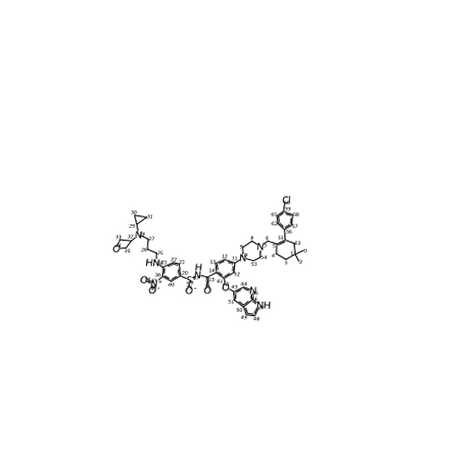 CC1(C)CCC(CN2CCN(c3ccc(C(=O)N[S+]([O-])c4ccc(NCCCN(C5CC5)C5COC5)c([N+](=O)[O-])c4)c(Oc4cnc5[nH]ccc5c4)c3)CC2)=C(c2ccc(Cl)cc2)C1